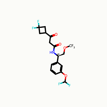 O=C(CC(=O)C1CC(F)(F)C1)N[C@@H](COC(F)(F)F)c1cccc(OC(F)F)c1